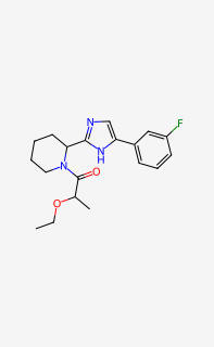 CCOC(C)C(=O)N1CCCCC1c1ncc(-c2cccc(F)c2)[nH]1